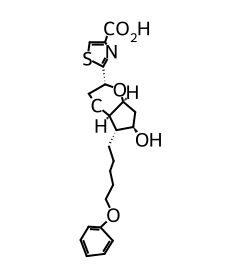 O=C(O)c1csc([C@H]2CC[C@@H]3[C@@H](CCCCCOc4ccccc4)[C@H](O)C[C@@H]3O2)n1